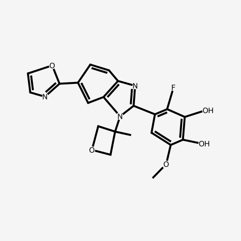 COc1cc(-c2nc3ccc(-c4ncco4)cc3n2C2(C)COC2)c(F)c(O)c1O